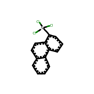 Cl[Si](Cl)(Cl)c1cccc2c1ccc1ccccc12